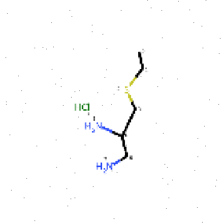 CCSCC(N)CN.Cl